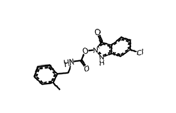 Cc1ccccc1CNC(=O)On1[nH]c2cc(Cl)ccc2c1=O